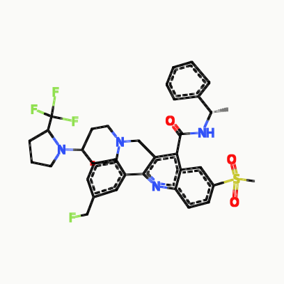 C[C@H](NC(=O)c1c(CN2CCC(N3CCCC3C(F)(F)F)CC2)c(-c2cccc(CF)c2)nc2ccc(S(C)(=O)=O)cc12)c1ccccc1